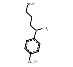 CCOC(=O)c1ccc(N(C)CCCNC(C)=O)cc1